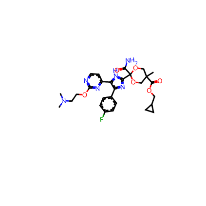 CN(C)CCOc1nccc(-c2[nH]c(C3(C(N)=O)OCC(C)(C(=O)OCC4CC4)CO3)nc2-c2ccc(F)cc2)n1